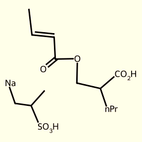 CC([CH2][Na])S(=O)(=O)O.CC=CC(=O)OCC(CCC)C(=O)O